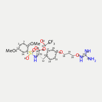 COc1ccc(OC)c(S(=O)(=O)N[C@@H](Cc2ccc(OCCCONC(=N)N)cc2)C(=O)OC(=O)C(F)(F)F)c1